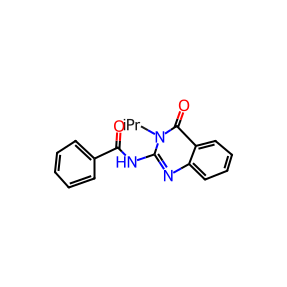 CC(C)n1c(NC(=O)c2ccccc2)nc2ccccc2c1=O